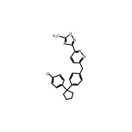 Cc1nc(-c2ccc(Cc3ccc(C4(c5ccc(Cl)cc5)CCCC4)cc3)nn2)no1